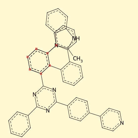 CC1Nc2ccccc2N1c1ccccc1-c1ccccc1-c1ccccc1-c1cccc(-c2nc(-c3ccccc3)nc(-c3ccc(-c4ccncc4)cc3)n2)c1